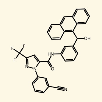 N#Cc1cccc(-n2nc(C(F)(F)F)cc2C(=O)Nc2cccc(C(O)c3c4ccccc4cc4ccccc34)c2)c1